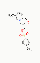 C[C](C)CN1CCO[C@H](COS(=O)(=O)c2ccc(C)cc2)C1